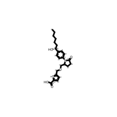 CCCCCC[C@@H](O)c1ccc(N2C(=O)CCC2COCc2ccc(C(=O)O)s2)cc1